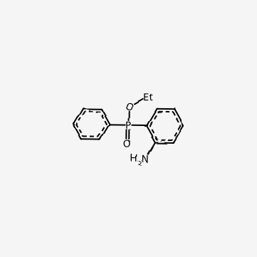 CCOP(=O)(c1ccccc1)c1ccccc1N